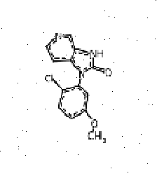 COc1ccc(Cl)c(-n2c(=O)[nH]c3cnccc32)c1